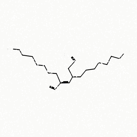 C=CCC(/C=C(/C=O)CCCCCCCC)CCCCCCCC